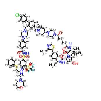 Cc1ncsc1-c1ccc([C@H](C)NC(=O)[C@@H]2C[C@@H](O)CN2C(=O)[C@@H](NC(=O)CCCCC(=O)N2CCN(C3CCN(C[C@]4(C)CCC(c5ccc(Cl)cc5)=C(CN5CCN(c6ccc(C(=O)NS(=O)(=O)c7ccc(N[C@H](CCN8CCCOCC8)CSc8ccccc8)c(S(=O)(=O)C(F)(F)F)c7)cc6)CC5)C4)CC3)CC2)C(C)(C)C)cc1